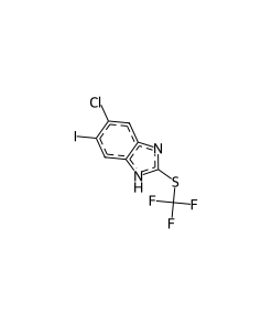 FC(F)(F)Sc1nc2cc(Cl)c(I)cc2[nH]1